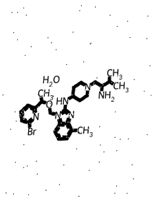 Cc1cccc2c1nc(NC1CCN(CC(N)C(C)C)CC1)n2COC(C)c1cccc(Br)n1.O